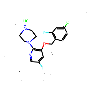 Cl.Fc1cnc(N2CCNCC2)c(OCc2ccc(Cl)cc2F)c1